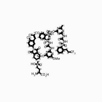 CCOC(=O)/C(Cl)=C/c1cc(N2C(=O)C3=C(CCCC3)C2=O)ccc1Cl.CCS(=O)(=O)c1cccnc1S(=O)(=O)NC(=O)Nc1nc(OC)cc(OC)n1.COc1nc(C)nc(NC(=O)NS(=O)(=O)c2ccccc2CCC(F)(F)F)n1.CP(=O)(O)CCC(N)C(=O)O